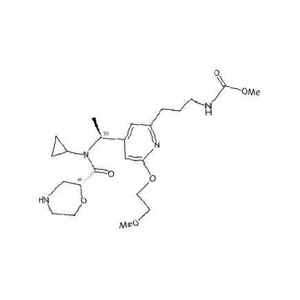 COCCOc1cc([C@H](C)N(C(=O)[C@H]2CNCCO2)C2CC2)cc(CCCNC(=O)OC)n1